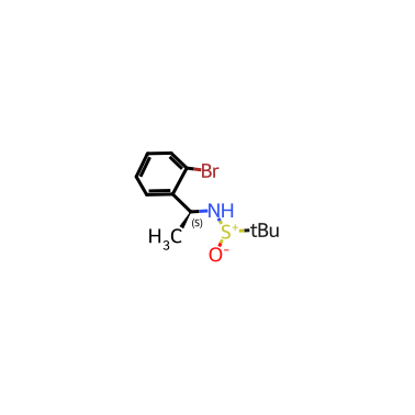 C[C@H](N[S+]([O-])C(C)(C)C)c1ccccc1Br